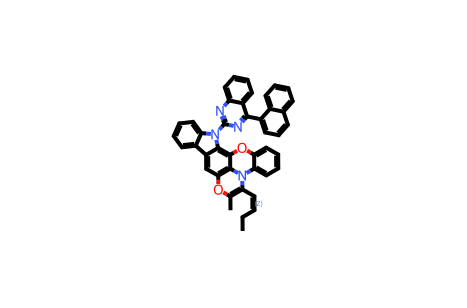 CC/C=C\C1=C(C)Oc2cc3c4ccccc4n(-c4nc(-c5cccc6ccccc56)c5ccccc5n4)c3c3c2N1c1ccccc1O3